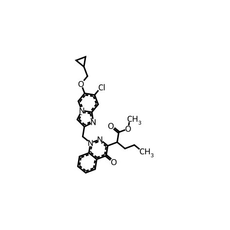 CCCC(C(=O)OC)c1nn(Cc2cn3cc(OCC4CC4)c(Cl)cc3n2)c2ccccc2c1=O